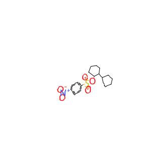 O=[N+]([O-])c1ccc(S(=O)(=O)OC2CCCCC2C2CCCCC2)cc1